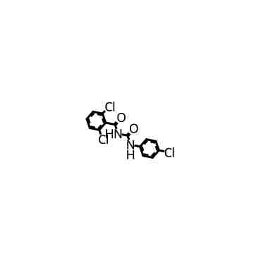 O=C(NC(=O)c1c(Cl)cccc1Cl)Nc1ccc(Cl)cc1